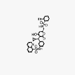 CCc1ccccc1S(=O)(=O)NCc1cc(O)c(C(c2cccc(NS(=O)(=O)c3cccc4cccnc34)c2)C2CC2)c(=O)o1